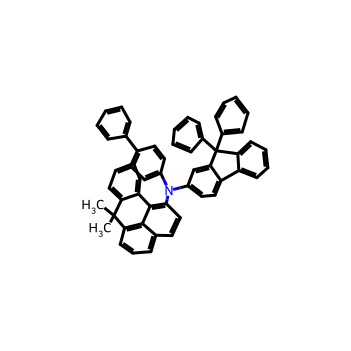 CC1(C)c2ccccc2-c2c(N(c3ccc(-c4ccccc4)cc3)c3ccc4c(c3)C(c3ccccc3)(c3ccccc3)c3ccccc3-4)ccc3cccc1c23